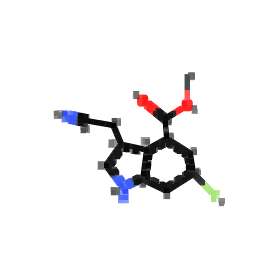 COC(=O)c1cc(F)cc2[nH]cc(CC#N)c12